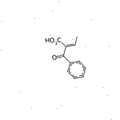 CC=C(C(=O)O)C(=O)c1ccccc1